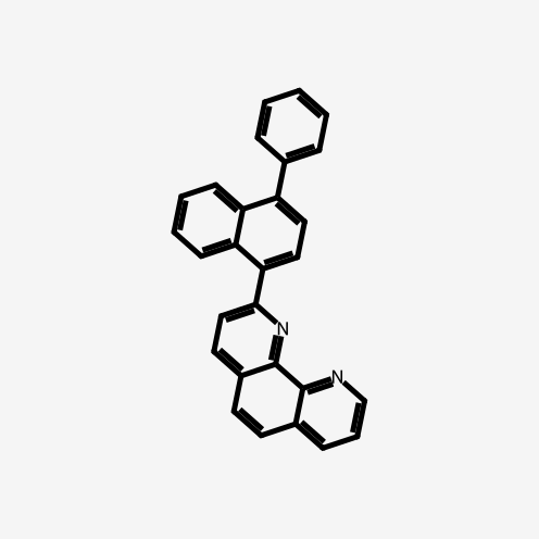 c1ccc(-c2ccc(-c3ccc4ccc5cccnc5c4n3)c3ccccc23)cc1